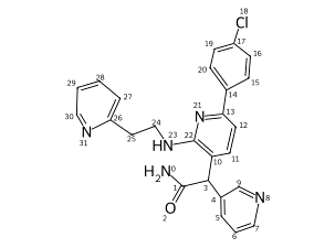 NC(=O)C(c1cccnc1)c1ccc(-c2ccc(Cl)cc2)nc1NCCc1ccccn1